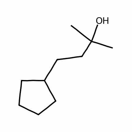 CC(C)(O)CCC1CCCC1